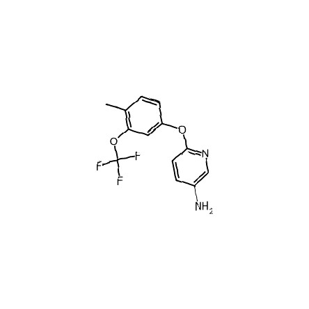 Cc1ccc(Oc2ccc(N)cn2)cc1OC(F)(F)F